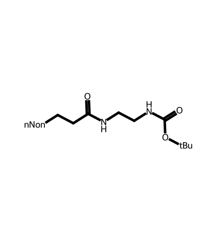 [CH2]CCCCCCCCCCC(=O)NCCNC(=O)OC(C)(C)C